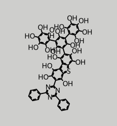 Oc1c(O)c(O)c(-c2c(O)c(-c3c(O)c(O)c(O)c(O)c3O)c(O)c(-c3c(O)c(O)c4sc5c(O)c(-c6nc(-c7ccccc7)nc(-c7ccccc7)n6)c(O)c(O)c5c4c3O)c2O)c(O)c1O